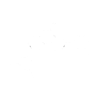 O=C1CC(=O)N(C[C@H](F)c2cc(F)cc(Cl)c2)C(=O)N1C[C@H](F)c1cc(F)cc(Cl)c1